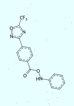 O=C(ONc1ccccc1)c1ccc(-c2noc(C(F)(F)F)n2)cc1